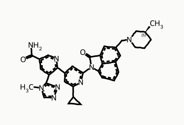 C[C@H]1CCCN(Cc2cc3c4c(cccc4c2)N(c2cc(-c4ncc(C(N)=O)cc4-c4nncn4C)cc(C4CC4)n2)C3=O)C1